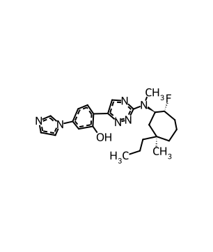 CCC[C@]1(C)CCC[C@@H](F)[C@H](N(C)c2ncc(-c3ccc(-n4ccnc4)cc3O)nn2)C1